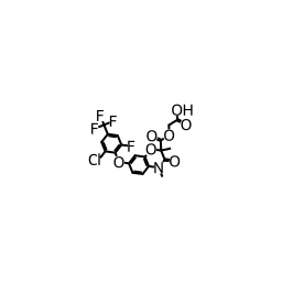 CN1C(=O)C(C)(C(=O)OCC(=O)O)Oc2cc(Oc3c(F)cc(C(F)(F)F)cc3Cl)ccc21